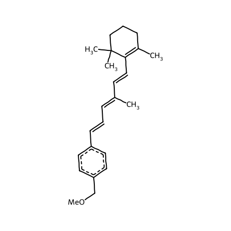 COCc1ccc(/C=C/C=C(C)/C=C/C2=C(C)CCCC2(C)C)cc1